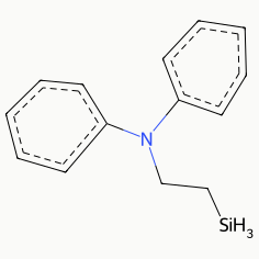 [SiH3]CCN(c1ccccc1)c1ccccc1